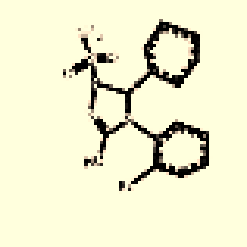 CCc1ccccc1N1C(O)=NN(S(N)(=O)=O)C1c1ccccc1